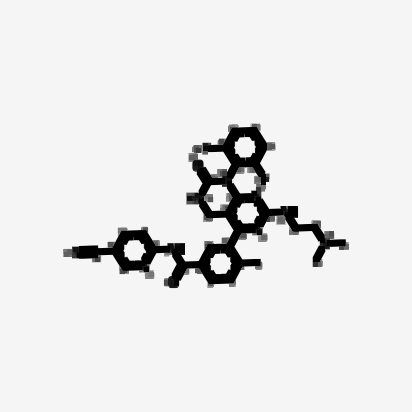 Cc1ccc(C(=O)Nc2ccc(C#N)cn2)cc1-c1nc(NCCN(C)C)nc2c1CNC(=O)N2c1c(F)cccc1F